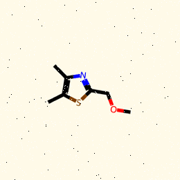 [CH2]c1sc(COC)nc1C